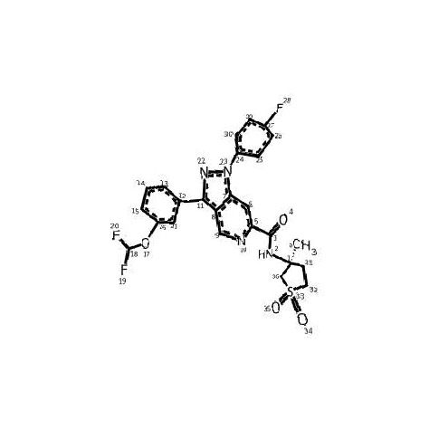 C[C@]1(NC(=O)c2cc3c(cn2)c(-c2cccc(OC(F)F)c2)nn3-c2ccc(F)cc2)CCS(=O)(=O)C1